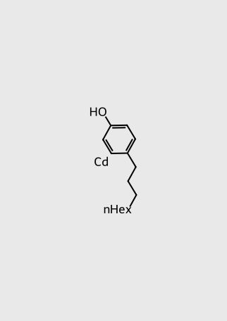 CCCCCCCCCc1ccc(O)cc1.[Cd]